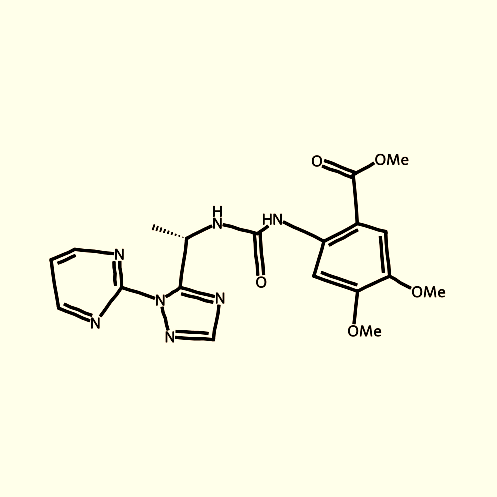 COC(=O)c1cc(OC)c(OC)cc1NC(=O)N[C@@H](C)c1ncnn1-c1ncccn1